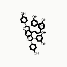 Oc1ccc(C/C=C/c2c3c(cc4c2[C@@H](c2cc(O)cc(O)c2)[C@H](c2ccc(O)cc2)O4)O[C@H](c2ccc(O)cc2)[C@@H]3c2cc(O)cc(O)c2)cc1